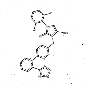 CCCCc1cn(-c2c(Cl)cccc2C(C)=O)c(=O)n1Cc1ccc(-c2ccccc2-c2nnn[nH]2)nc1